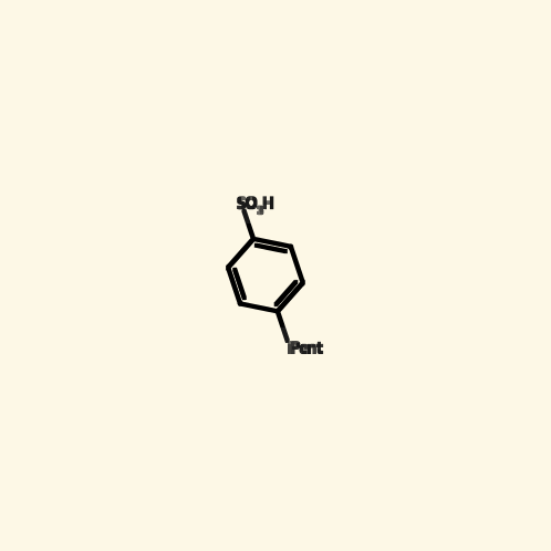 CCCC(C)c1ccc(S(=O)(=O)O)cc1